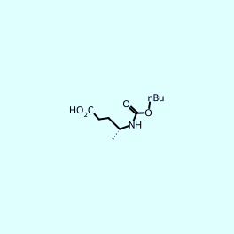 CCCCOC(=O)N[C@H](C)CCC(=O)O